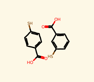 O=C(O)c1ccc(S)cc1.O=C(O)c1cccc(S)c1